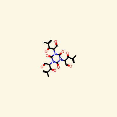 C=C(C)C(=O)C(C=O)n1c(=O)n(C(C=O)C(=O)C(=C)C)c(=O)n(C(C=O)C(=O)C(=C)C)c1=O